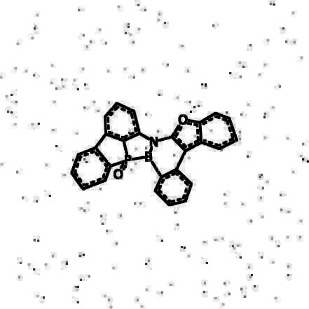 O=P12B3c4ccccc4-c4c(oc5ccccc45)N3c3cccc(c31)-c1ccccc12